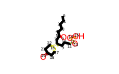 CCCCCC(=O)CC(CCCS(=O)(=O)O)[S+]1CCC(=O)CC1